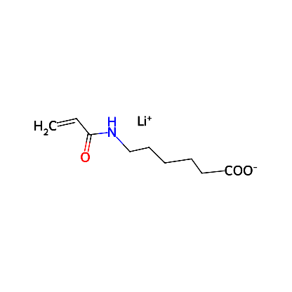 C=CC(=O)NCCCCCC(=O)[O-].[Li+]